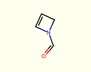 O=[C]N1C=CC1